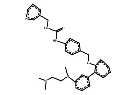 CN(C)CCN(C)c1cc(-c2ccccc2OCc2ccc(NC(=O)NCc3cccnc3)cc2)ccn1